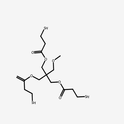 C=C(CCS)OCC(COC)(COC(=O)CCS)COC(=O)CCS